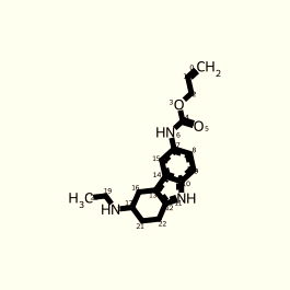 C=CCOC(=O)Nc1ccc2[nH]c3c(c2c1)CC(NCC)CC3